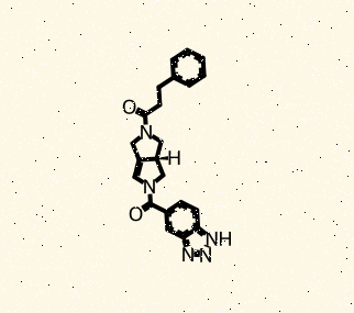 O=C(c1ccc2[nH]nnc2c1)N1C=C2CN(C(=O)CCc3ccccc3)C[C@@H]2C1